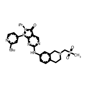 CC(C)n1c(=O)c2cnc(Nc3ccc4c(c3)CN(CS(C)(=O)=O)CC4)nc2n1-c1ccnc(C(C)(C)C)c1